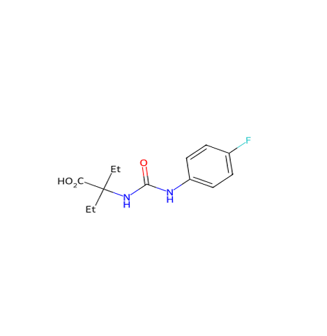 CCC(CC)(NC(=O)Nc1ccc(F)cc1)C(=O)O